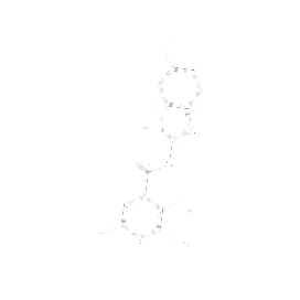 Cc1ccc2nc(NC(=O)c3cc(Cl)cc(C#N)c3O)sc2c1